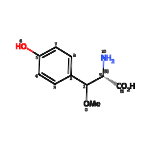 COC(c1ccc(O)cc1)[C@H](N)C(=O)O